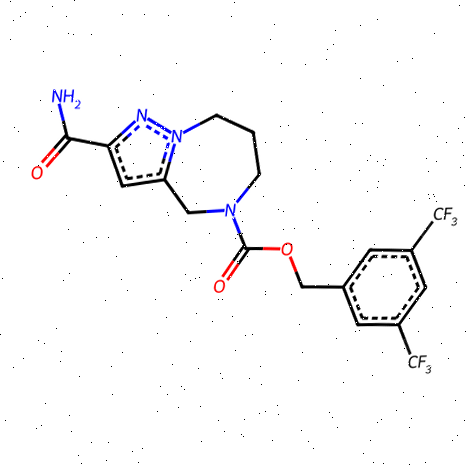 NC(=O)c1cc2n(n1)CCCN(C(=O)OCc1cc(C(F)(F)F)cc(C(F)(F)F)c1)C2